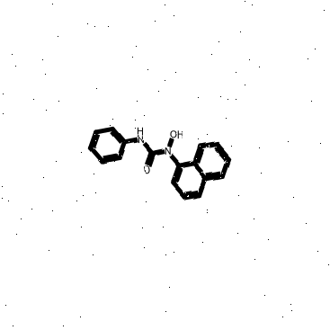 O=C(Nc1ccccc1)N(O)c1cccc2ccccc12